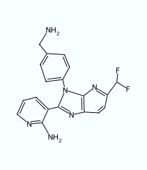 NCc1ccc(-n2c(-c3cccnc3N)nc3ccc(C(F)F)nc32)cc1